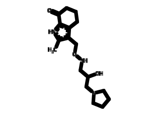 Cc1[nH]c2c(c1CONCC(O)CN1CCCC1)CCCC2=O